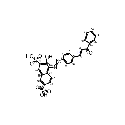 O=C(/C=C/c1ccc(N=Nc2c(O)c(S(=O)(=O)O)cc3cc(S(=O)(=O)O)ccc23)cc1)c1ccccc1